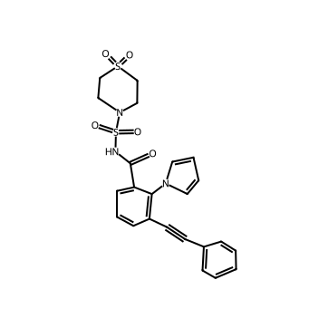 O=C(NS(=O)(=O)N1CCS(=O)(=O)CC1)c1cccc(C#Cc2ccccc2)c1-n1cccc1